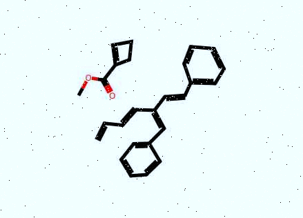 C=CC=CC(C=Cc1ccccc1)=Cc1ccccc1.COC(=O)C1=CCC1